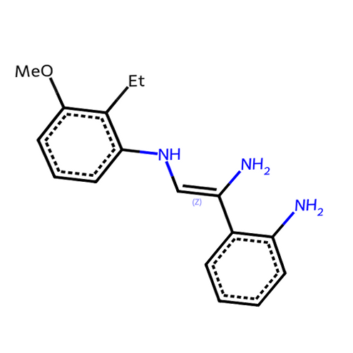 CCc1c(N/C=C(\N)c2ccccc2N)cccc1OC